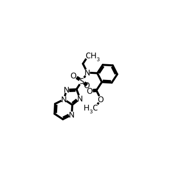 CCN(c1ccccc1C(=O)OC)S(=O)(=O)c1nc2ncccn2n1